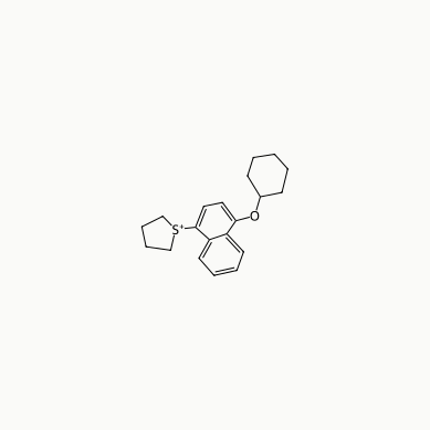 c1ccc2c([S+]3CCCC3)ccc(OC3CCCCC3)c2c1